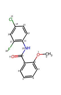 COc1ccccc1C(=O)Nc1ccc(Cl)cc1F